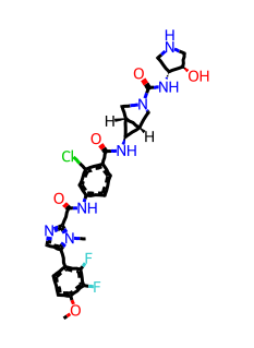 COc1ccc(-c2cnc(C(=O)Nc3ccc(C(=O)N[C@H]4[C@@H]5CN(C(=O)N[C@@H]6CNC[C@H]6O)C[C@@H]54)c(Cl)c3)n2C)c(F)c1F